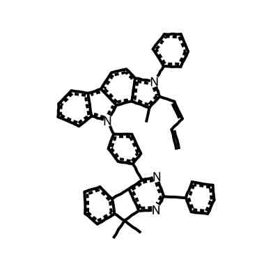 C=C/C=C\c1c(C)c2c(ccc3c4ccccc4n(-c4ccc(-c5nc(-c6ccccc6)nc6c5-c5ccccc5C6(C)C)cc4)c32)n1-c1ccccc1